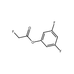 O=C(CF)Oc1cc(F)cc(F)c1